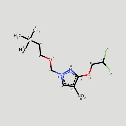 C[Si](C)(C)CCOCn1cc([N+](=O)[O-])c(OCC(F)F)n1